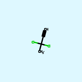 C#CC([CH2])(Cl)Cl